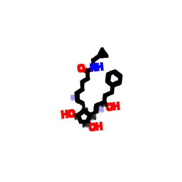 O=C(CCC/C=C\C[C@@H]1[C@@H](/C=C/[C@@H](O)CCc2ccccc2)[C@H](O)C[C@@H]1O)NCC1CC1